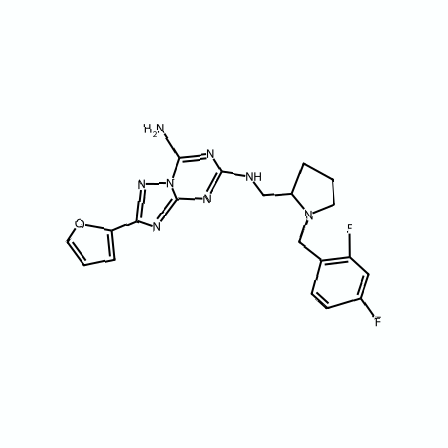 Nc1nc(NCC2CCCN2Cc2ccc(F)cc2F)nc2nc(-c3ccco3)nn12